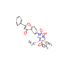 COc1c(C)cnc(CN(C(=O)O)c2ccc3oc(-c4ccccc4)cc(=O)c3c2)c1C